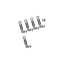 I.[O]=[BiH].[O]=[BiH].[O]=[BiH].[O]=[BiH].[O]=[BiH]